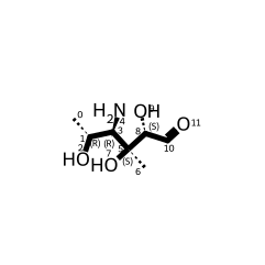 C[C@@H](O)[C@@H](N)[C@](C)(O)[C@H](O)C=O